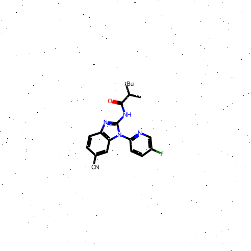 CC(C(=O)Nc1nc2ccc(C#N)cc2n1-c1ccc(F)cn1)C(C)(C)C